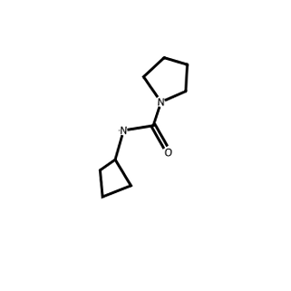 O=C([N]C1CCC1)N1CCCC1